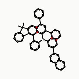 CC1(C)c2ccccc2-c2c(-c3ccccc3N(c3cccc(-c4ccc5ccccc5c4)c3)c3ccc(-c4ccccc4)cc3-c3ccccc3)cccc21